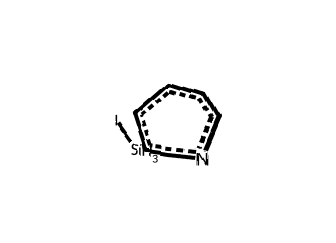 [SiH3]I.c1ccncc1